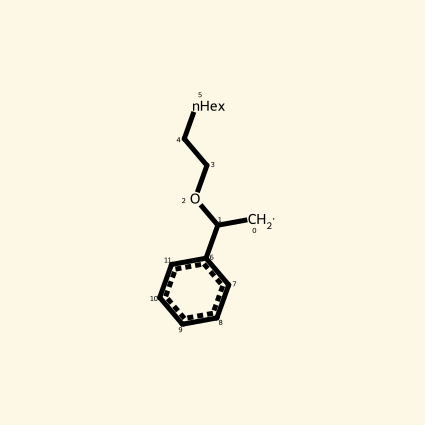 [CH2]C(OCCCCCCCC)c1ccccc1